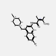 C/C(C=O)=C(\C)C(=O)Nc1cc(CN2CCN(C)CC2)c2ccc(Br)cc2n1